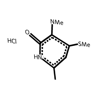 CNc1c(SC)cc(C)[nH]c1=O.Cl